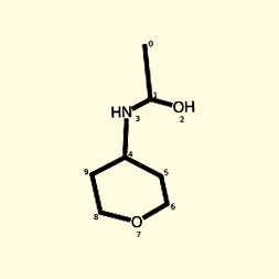 CC(O)NC1CCOCC1